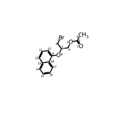 CC(=O)OC[C@H](CBr)Oc1cccc2ccccc12